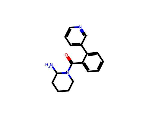 NC1CCCCN1C(=O)c1ccccc1-c1[c]nccc1